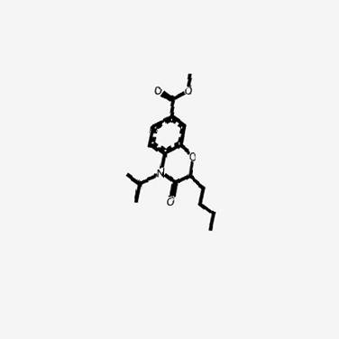 CCCCC1Oc2cc(C(=O)OC)ccc2N(C(C)C)C1=O